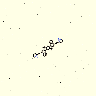 CC1(C)c2cc3c(cc2-c2c1cc(C#Cc1ccccn1)c1ccccc21)C(C)(C)c1cc(C#Cc2ccccn2)c2ccccc2c1-3